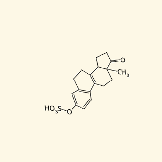 CC12CCC3=C(CCc4cc(OS(=O)(=O)O)ccc43)C1CCC2=O